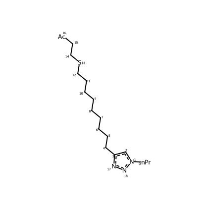 CCCn1cc(CCCCCCCCCSCCC(C)=O)nn1